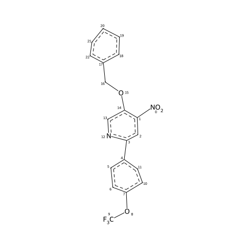 O=[N+]([O-])c1cc(-c2ccc(OC(F)(F)F)cc2)ncc1OCc1ccccc1